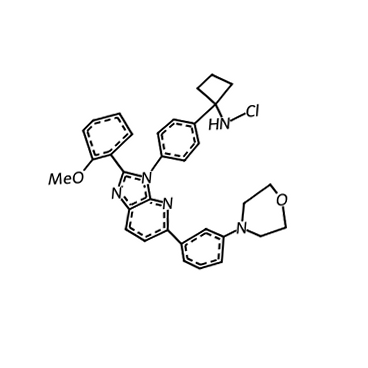 COc1ccccc1-c1nc2ccc(-c3cccc(N4CCOCC4)c3)nc2n1-c1ccc(C2(NCl)CCC2)cc1